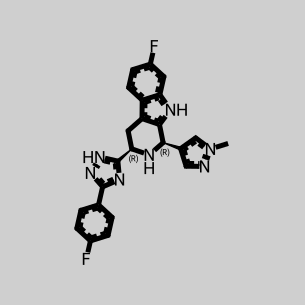 Cn1cc([C@H]2N[C@@H](c3nc(-c4ccc(F)cc4)n[nH]3)Cc3c2[nH]c2cc(F)ccc32)cn1